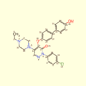 CCN1CCN(c2cnn(-c3ccc(Cl)cc3)c(=O)c2Oc2ccc(-c3ccc(O)cc3)cc2)CC1